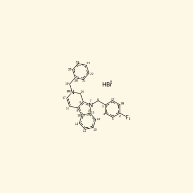 Br.Fc1ccc(Cn2c3c(c4ccccc42)C=CN(Cc2ccccc2)C3)cc1